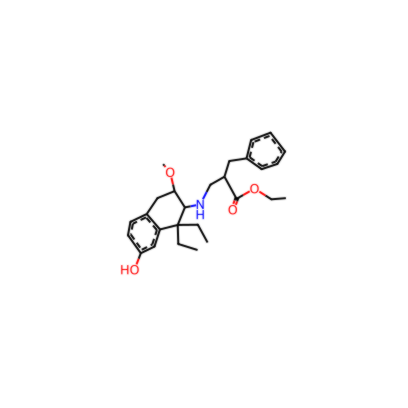 CCOC(=O)C(CNC1C(OC)Cc2ccc(O)cc2C1(CC)CC)Cc1ccccc1